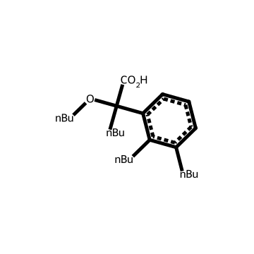 CCCCOC(CCCC)(C(=O)O)c1cccc(CCCC)c1CCCC